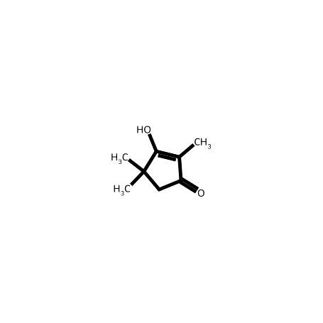 CC1=C(O)C(C)(C)CC1=O